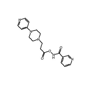 O=C(CCN1CCN(c2ccncc2)CC1)ONC(=O)c1cccnc1